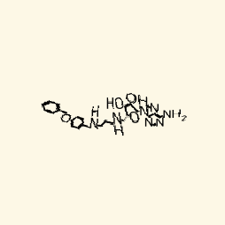 Nc1ncnc2c1ncn2[C@@H]1O[C@H](CNCCCNCc2ccc(OCc3ccccc3)cc2)[C@@H](O)[C@H]1O